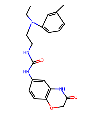 CCN(CCNC(=O)Nc1ccc2c(c1)NC(=O)CO2)c1cccc(C)c1